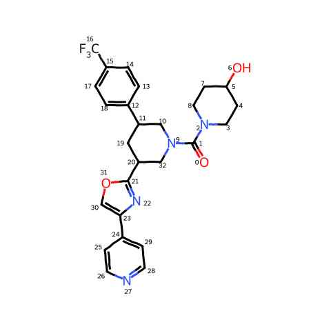 O=C(N1CCC(O)CC1)N1CC(c2ccc(C(F)(F)F)cc2)CC(c2nc(-c3ccncc3)co2)C1